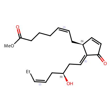 CC/C=C\C[C@H](O)C/C=C1/C(=O)C=C[C@@H]1C/C=C\CCCC(=O)OC